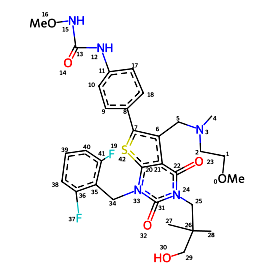 COCCN(C)Cc1c(-c2ccc(NC(=O)NOC)cc2)sc2c1c(=O)n(CC(C)(C)CO)c(=O)n2Cc1c(F)cccc1F